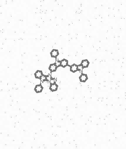 c1ccc(-n2c3ccccc3c3cc(-c4ccc5c(c4)c4cc(-n6c7c8ccccc8n(-c8ccccc8)c7n7c8ccccc8nc67)ccc4n5-c4ccccc4)ccc32)cc1